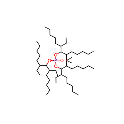 CCCCCC(CC)C(OP(=O)(OC(C(CC)CCCCC)C(CC)CCCCC)OC(C(CC)CCCCC)C(CC)CCCCC)C(CC)CCCCC